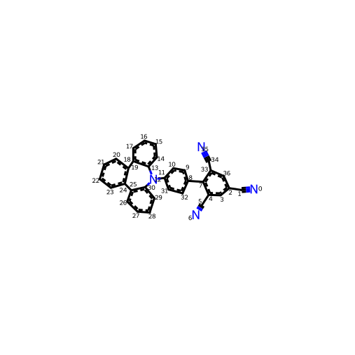 N#Cc1cc(C#N)c(-c2ccc(N3c4ccccc4-c4ccccc4-c4ccccc43)cc2)c(C#N)c1